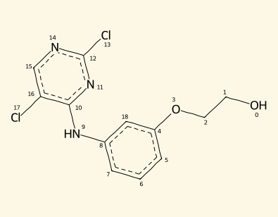 OCCOc1cccc(Nc2nc(Cl)ncc2Cl)c1